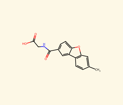 Cc1ccc2c(c1)oc1ccc(C(=O)NCC(=O)O)cc12